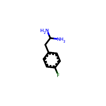 NC(N)Cc1ccc(F)cc1